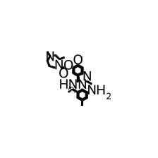 COc1cc2nc(C)nc(N[C@H](C)c3cc(C)cc(N)c3)c2cc1OC(=O)N1CCCN(C)CC1C